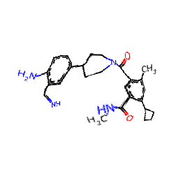 CNC(=O)c1cc(C(=O)N2CCC(c3ccc(N)c(C=N)c3)CC2)c(C)cc1C1CCC1